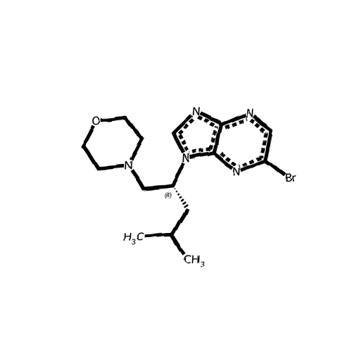 CC(C)C[C@H](CN1CCOCC1)n1cnc2ncc(Br)nc21